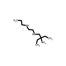 CCCNCCNCC(N)(CC)CC